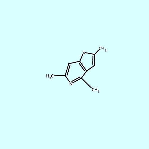 Cc1cc2sc(C)cc2c(C)n1